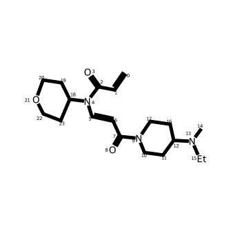 C=CC(=O)N(/C=C/C(=O)N1CCC(N(C)CC)CC1)C1CCOCC1